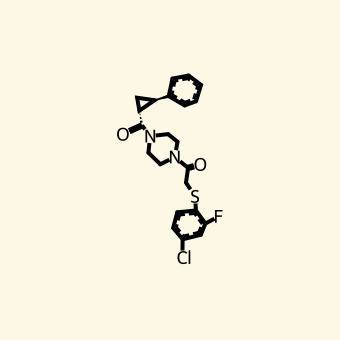 O=C(CSc1ccc(Cl)cc1F)N1CCN(C(=O)[C@@H]2C[C@H]2c2ccccc2)CC1